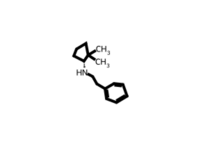 CC1(C)CCC[C@H]1NCCc1ccccc1